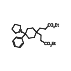 CCOC(=O)CCC1(CCC(=O)OCC)CCC(c2ccccc2)(N2CCCC2)CC1